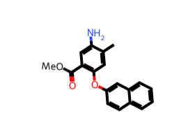 COC(=O)c1cc(N)c(C)cc1Oc1ccc2ccccc2c1